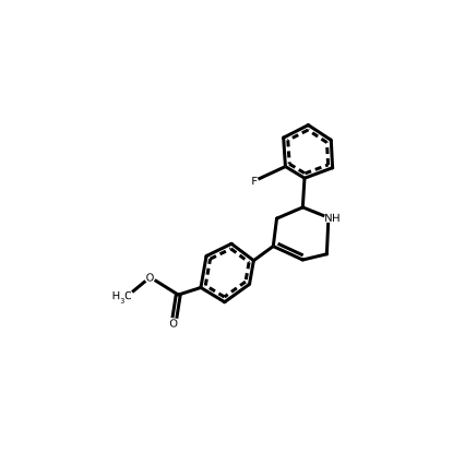 COC(=O)c1ccc(C2=CCNC(c3ccccc3F)C2)cc1